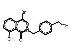 CCc1ccc(Cn2cc(Br)c3cccc(C)c3c2=O)cc1